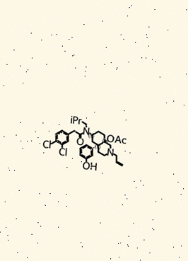 C=CCN1CC[C@@]2(c3cccc(O)c3)C[C@@H](N(CC(C)C)C(=O)Cc3ccc(Cl)c(Cl)c3)CC[C@]2(OC(C)=O)C1